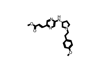 COC(=O)/C=C/c1cnc(N[C@@H]2CCN(CCc3ccc(OC)cc3)C2)cn1